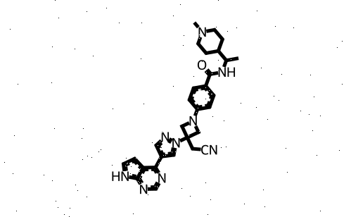 CC(NC(=O)c1ccc(N2CC(CC#N)(n3cc(-c4ncnc5[nH]ccc45)cn3)C2)cc1)C1CCN(C)CC1